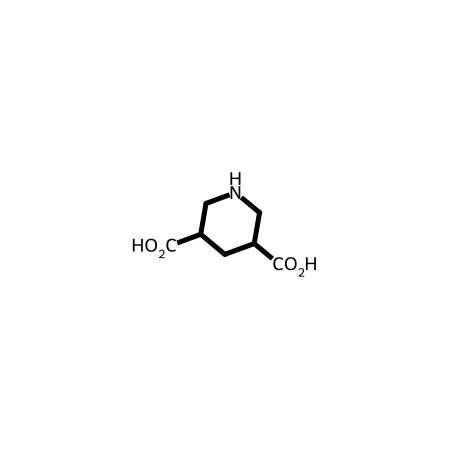 O=C(O)C1CNCC(C(=O)O)C1